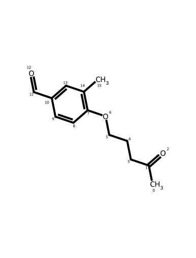 CC(=O)CCCOc1ccc(C=O)cc1C